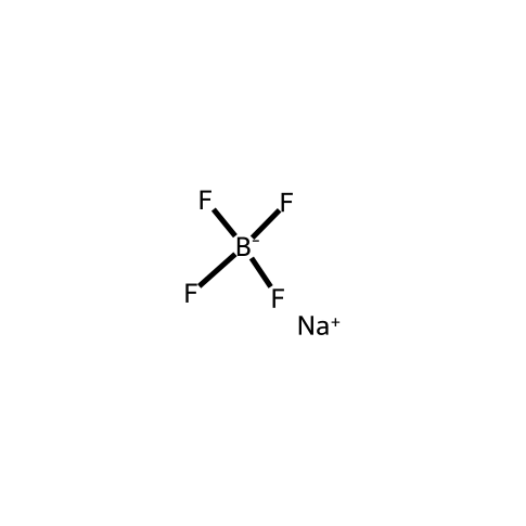 F[B-](F)(F)F.[Na+]